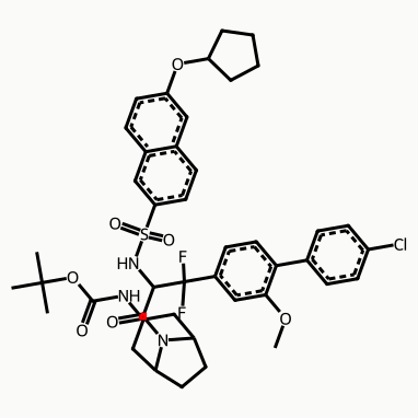 COc1cc(C(F)(F)C(NS(=O)(=O)c2ccc3cc(OC4CCCC4)ccc3c2)C(=O)N2C3CCC2CC(NC(=O)OC(C)(C)C)C3)ccc1-c1ccc(Cl)cc1